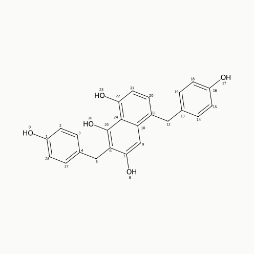 Oc1ccc(Cc2c(O)cc3c(Cc4ccc(O)cc4)ccc(O)c3c2O)cc1